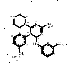 Cc1cccc(NC2N=C(N)N=C(N3CCOCC3)N2c2cccc(C)c2)c1.Cl